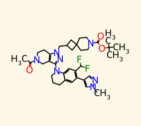 CC(=O)N1CCc2c(c(N3CCCc4cc(-c5cnn(C)c5)c(C(F)F)cc43)nn2CC2CC3(CCN(C(=O)OC(C)(C)C)CC3)C2)C1